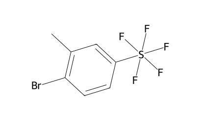 Cc1cc(S(F)(F)(F)(F)F)ccc1Br